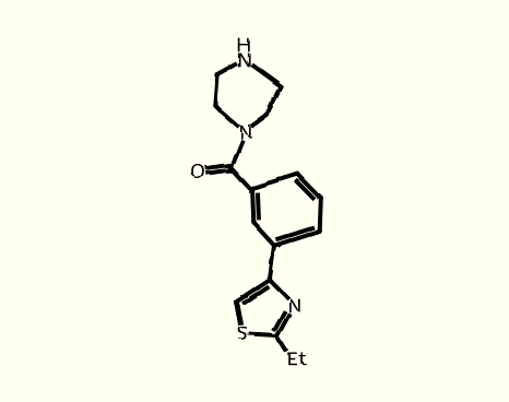 CCc1nc(-c2cccc(C(=O)N3CCNCC3)c2)cs1